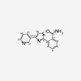 NC(=O)c1ccccc1-c1nc(-c2cccnc2)cs1